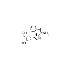 Nc1nc2ccccc2n2c(C3CC(O)C(CO)O3)cnc12